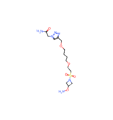 NOC1CN(S(=O)(=O)CCOCCCCOCc2cn(CC(N)=O)nn2)C1